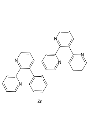 [Zn].c1ccc(-c2cccnc2-c2ccccn2)nc1.c1ccc(-c2cccnc2-c2ccccn2)nc1